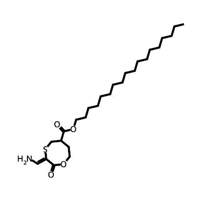 CCCCCCCCCCCCCCCCCCOC(=O)C1CCOC(=O)C(=CN)SC1